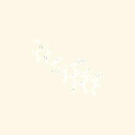 CN1CCN(CC(=O)Nc2cc(O)c3c(c2)C(=O)c2cccc(O)c2C3=O)CC1